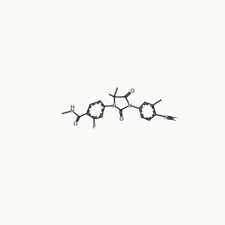 [C-]#[N+]c1ccc(N2C(=O)N(c3ccc(C(=O)NC)c(F)c3)C(C)(C)C2=O)cc1C